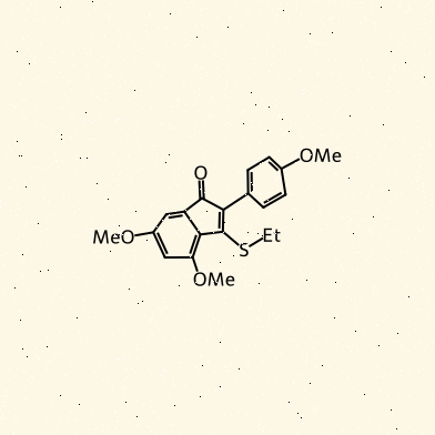 CCSC1=C(c2ccc(OC)cc2)C(=O)c2cc(OC)cc(OC)c21